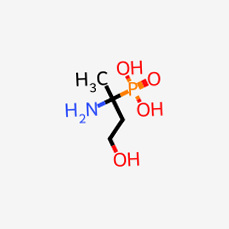 CC(N)(CCO)P(=O)(O)O